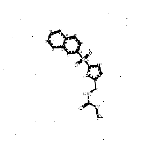 CC(C)(C)OC(=O)NCc1cnc(S(=O)(=O)c2ccc3ccccc3c2)s1